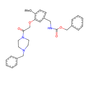 COc1ccc(CNC(=O)OCc2ccccc2)cc1OCC(=O)N1CCN(Cc2ccccc2)CC1